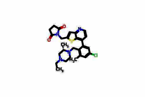 CCN1CCN(Cc2c(C)cc(Cl)cc2-c2ccnc3cc(CN4C(=O)CCC4=O)sc23)[C@@H](C)C1